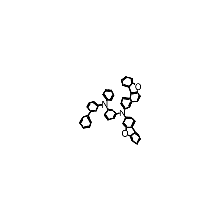 c1ccc(-c2cccc(N(c3ccccc3)c3cccc(N(c4ccc5c(ccc6oc7ccccc7c65)c4)c4ccc5c(c4)oc4ccccc45)c3)c2)cc1